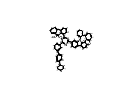 CC1(C)c2ccccc2-c2cccc(-c3nc(-c4cccc(-c5ccc(-c6ccccc6)cc5)c4)nc(-c4ccc5c6ccc7oc8cccc9c%10ccccc%10n(c5c4)c6c7c89)n3)c21